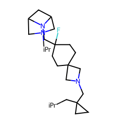 CC(C)CC1(CN2CC3(CCC(F)(CN4C5CC4CN(C(C)C)C5)CC3)C2)CC1